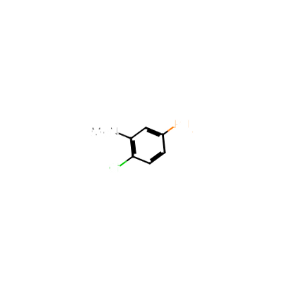 CNc1cc(P)ccc1Cl